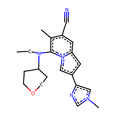 CCN(c1c(C)c(C#N)cc2cc(-c3cn(C)cn3)cn12)C1CCOCC1